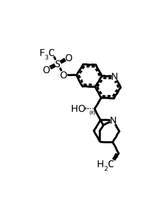 C=CC1CN2CCC1CC2[C@H](O)c1ccnc2ccc(OS(=O)(=O)C(F)(F)F)cc12